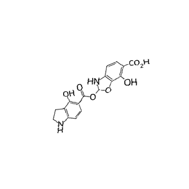 O=C(OC1Nc2ccc(C(=O)O)c(O)c2O1)c1ccc2c(c1O)CCN2